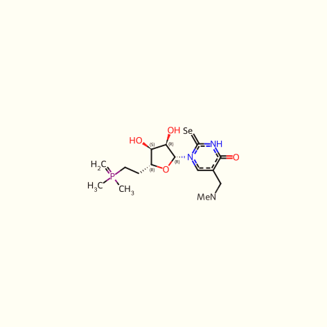 C=P(C)(C)CC[C@H]1O[C@@H](n2cc(CNC)c(=O)[nH]c2=[Se])[C@H](O)[C@@H]1O